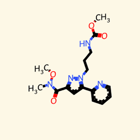 COC(=O)NCCCn1nc(C(=O)N(C)OC)cc1-c1ccccn1